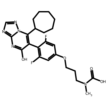 CN(CCCOc1cc(F)c(-c2c(O)nc3ncnn3c2C2CCCCCC2)c(F)c1)C(=O)O